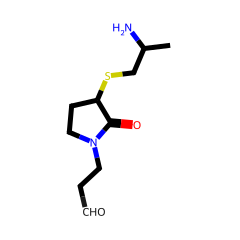 CC(N)CSC1CCN(CCC=O)C1=O